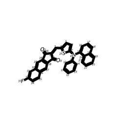 O=C1/C(=C\c2ccc(N(c3ccccc3)c3cccc4ccccc34)s2)C(=O)c2cc3cc(F)ccc3cc21